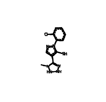 CN1NNN=C1c1cnn(-c2ccccc2Cl)c1S